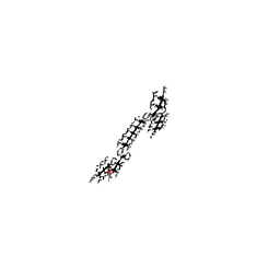 O=C(OC(F)(F)C(F)(F)C(F)(F)C(F)(F)C(F)(F)OC(=O)C(F)(OC(F)(F)C(F)(F)C(F)(F)F)C(F)(F)F)C(F)(OC(F)(F)C(F)(F)C(F)(F)F)C(F)(F)F